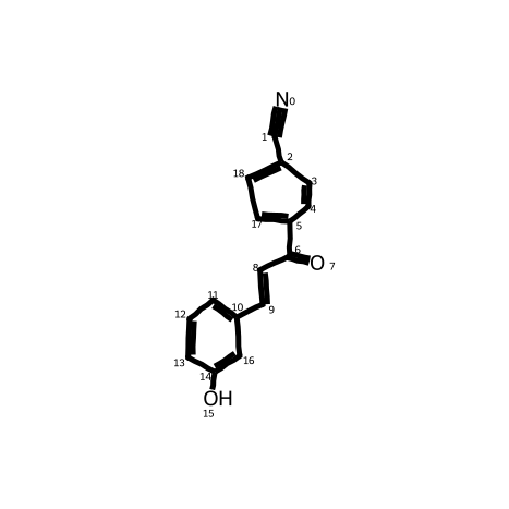 N#Cc1ccc(C(=O)C=Cc2cccc(O)c2)cc1